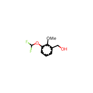 COc1c(CO)cccc1OC(F)F